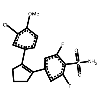 COc1ccc(C2=C(c3cc(F)c(S(N)(=O)=O)c(F)c3)CCC2)cc1Cl